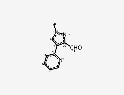 Cn1cc(-c2ccccn2)c(C=O)n1